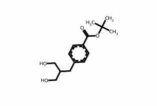 CC(C)(C)OC(=O)c1ccc(CC(CO)CO)cc1